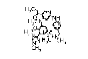 CCC(=O)c1cnc(Nc2ccc(CN(C)C(C)C)cn2)cc1N(C)c1cccc(-c2ncn(C)n2)c1OC